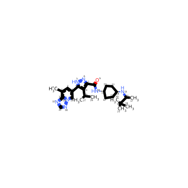 Cc1cc(-c2[nH]nc(C(=O)N[C@H]3CC[C@@H](NC(C)C(C)(C)C)CC3)c2C(C)C)cn2ncnc12